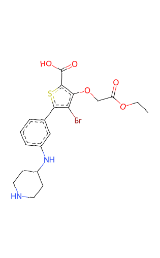 CCOC(=O)COc1c(C(=O)O)sc(-c2cccc(NC3CCNCC3)c2)c1Br